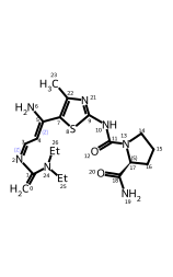 C=C(/N=C\C=C(/N)c1sc(NC(=O)N2CCC[C@H]2C(N)=O)nc1C)N(CC)CC